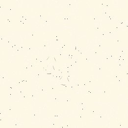 COc1cc2ncnc(Nc3cccc(Cl)c3F)c2cc1OC1CC(C(=O)N(C)C)N(C)C1